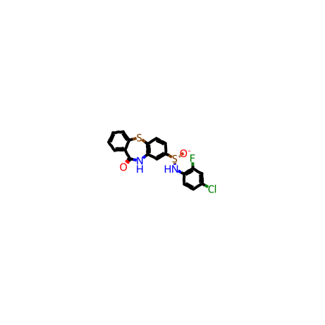 O=C1Nc2cc([S+]([O-])Nc3ccc(Cl)cc3F)ccc2Sc2ccccc21